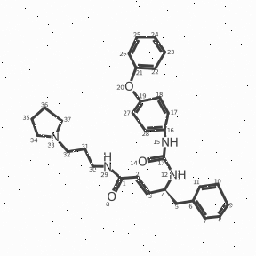 O=C(/C=C/[C@H](Cc1ccccc1)NC(=O)Nc1ccc(Oc2ccccc2)cc1)NCCCN1CCCC1